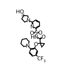 O=C(NS(=O)(=O)c1cccc(N2CC[C@H](O)C2)n1)C1(Oc2cc(C(F)(F)F)ccc2N2CCCCC2)CC1